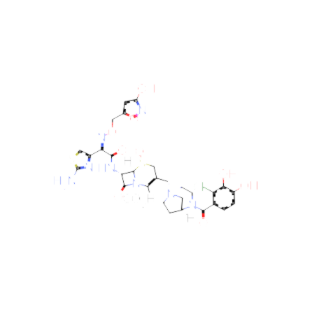 Nc1nc(/C(=N/OCc2cc(O)no2)C(=O)N[C@@H]2C(=O)N3C(C(=O)O)=C(C[N@@+]45CC[C@@H](C4)N(C(=O)c4ccc(O)c(O)c4Cl)CC5)C[S+]([O-])[C@H]23)cs1